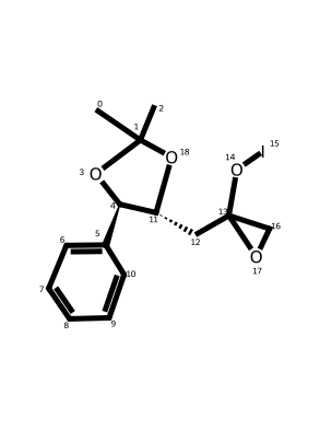 CC1(C)O[C@H](c2ccccc2)[C@@H](CC2(OI)CO2)O1